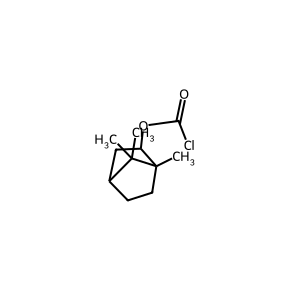 CC1(C)C2CCC1(C)C(OC(=O)Cl)C2